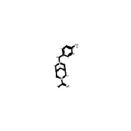 CC(=O)N1CC2CC(CN(Cc3ccc(O)cc3)C2)C1